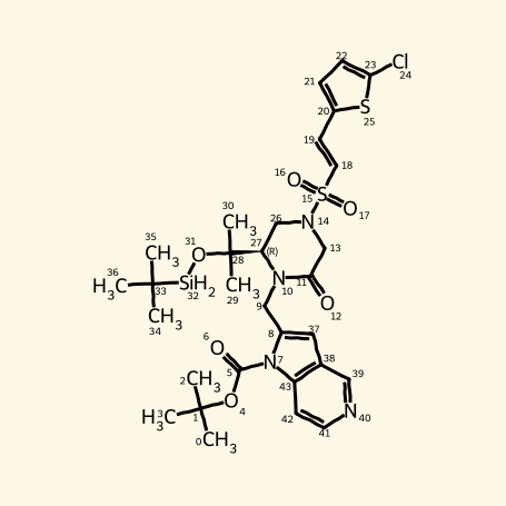 CC(C)(C)OC(=O)n1c(CN2C(=O)CN(S(=O)(=O)C=Cc3ccc(Cl)s3)C[C@@H]2C(C)(C)O[SiH2]C(C)(C)C)cc2cnccc21